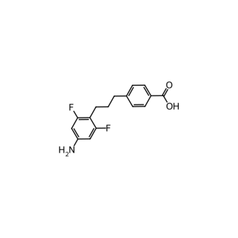 Nc1cc(F)c(CCCc2ccc(C(=O)O)cc2)c(F)c1